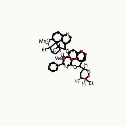 CC[C@H]1CN2CCC1C[C@@H]2[C@@H](Oc1nc(-c2ccccc2)nc(O[C@@H](c2ccnc3ccc(OC)cc23)[C@H]2C[C@@H]3CCN2C[C@@H]3CC)c1-c1ccccc1)c1ccnc2ccc(OC)cc12